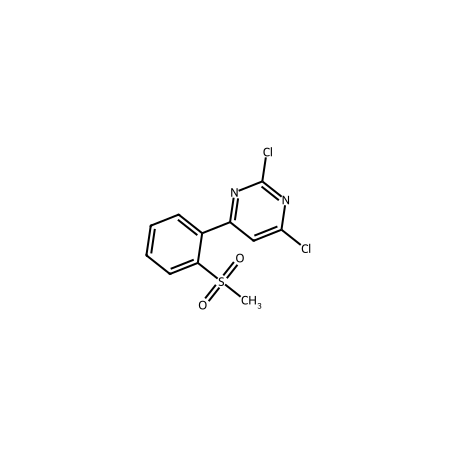 CS(=O)(=O)c1ccccc1-c1cc(Cl)nc(Cl)n1